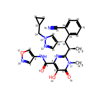 C[C@@H](c1nc(C(=O)Nc2cnoc2)c(O)c(=O)n1C)[C@H](c1cnn(CC2CC2)c1)c1ccccc1C#N